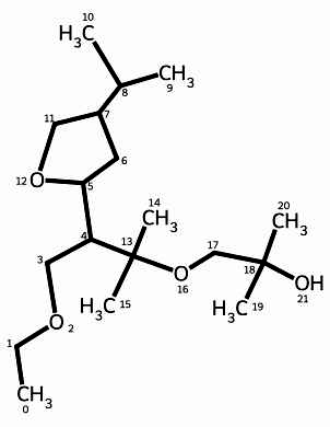 CCOCC(C1CC(C(C)C)CO1)C(C)(C)OCC(C)(C)O